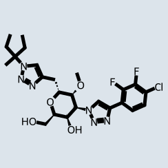 CCC(C)(CC)n1cc(C[C@H]2O[C@H](CO)[C@H](O)[C@H](n3cc(-c4ccc(Cl)c(F)c4F)nn3)[C@H]2OC)nn1